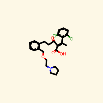 CC(=C(C(=O)O)C(=O)CCc1ccccc1COCCN1CCCC1)c1c(Cl)cccc1Cl